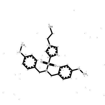 COc1ccc(CN(Cc2ccc(OC)cc2)S(=O)(=O)c2cn(CCO)cn2)cc1